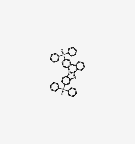 O=P(c1ccccc1)(c1ccccc1)c1ccc2c(c1)nc1c3ccccc3c3cc(P(=O)(c4ccccc4)c4ccccc4)ccc3n21